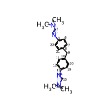 CN(C)/C=N/c1ccc(Cc2ccc(/N=C/N(C)C)cc2)cc1